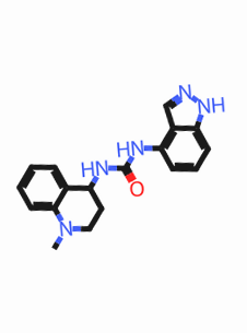 CN1CCC(NC(=O)Nc2cccc3[nH]ncc23)c2ccccc21